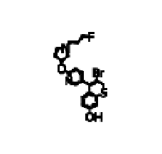 Oc1ccc2c(c1)SCC(Br)=C2c1ccc(OC2CCN(CCCF)C2)nc1